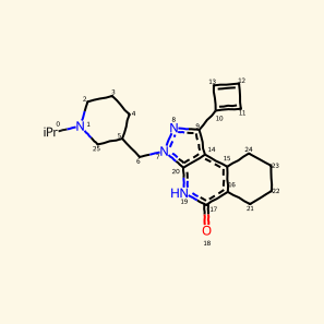 CC(C)N1CCCC(Cn2nc(C3=CC=C3)c3c4c(c(=O)[nH]c32)CCCC4)C1